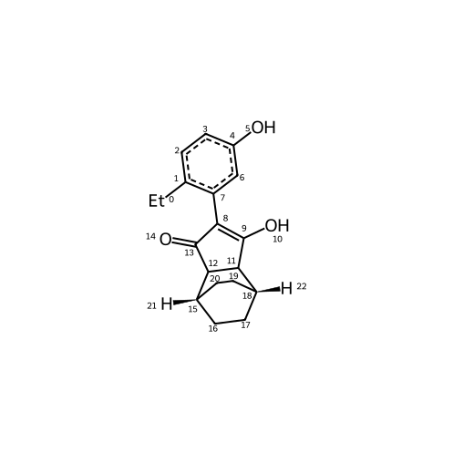 CCc1ccc(O)cc1C1=C(O)C2C(C1=O)[C@H]1CC[C@@H]2CC1